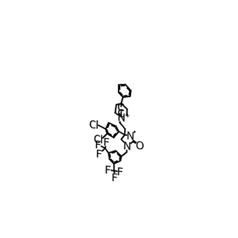 CN1C(=O)N(Cc2cc(C(F)(F)F)cc(C(F)(F)F)c2)CC1(CC[N+]12CCC(c3ccccc3)(CC1)CC2)c1ccc(Cl)c(Cl)c1